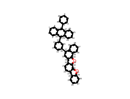 c1ccc(-c2c3ccccc3c(-c3cccc(-c4cc5c6ccc7c8ccccc8oc7c6oc5c5ccccc45)c3)c3ccccc23)cc1